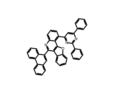 c1ccc(-c2cc(-c3cccc4nc(-c5cc6ccccc6c6ccccc56)c5c6ccccc6oc5c34)nc(-c3ccccc3)n2)cc1